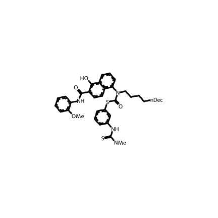 CCCCCCCCCCCCCCN(C(=O)Sc1cccc(NC(=S)NC)c1)c1cccc2c(O)c(C(=O)Nc3ccccc3OC)ccc12